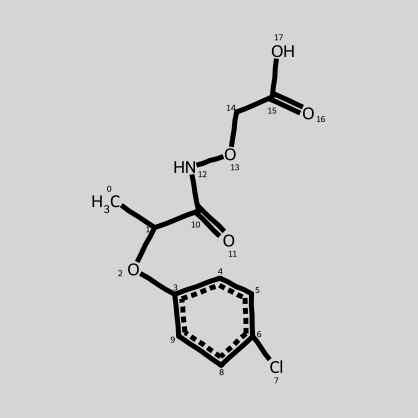 CC(Oc1ccc(Cl)cc1)C(=O)NOCC(=O)O